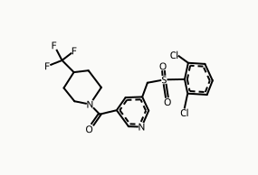 O=C(c1cncc(CS(=O)(=O)c2c(Cl)cccc2Cl)c1)N1CCC(C(F)(F)F)CC1